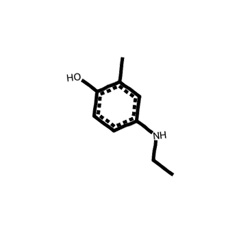 CCNc1ccc(O)c(C)c1